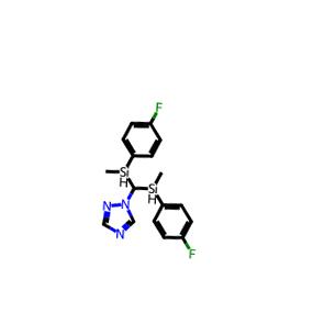 C[SiH](c1ccc(F)cc1)C(n1cncn1)[SiH](C)c1ccc(F)cc1